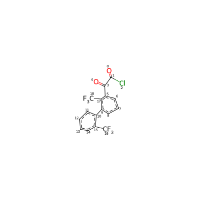 O=C(Cl)C(=O)c1cccc(-c2ccccc2C(F)(F)F)c1C(F)(F)F